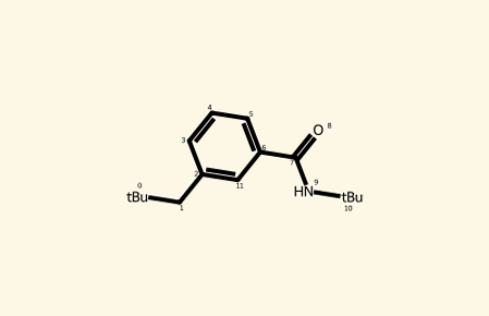 CC(C)(C)Cc1cccc(C(=O)NC(C)(C)C)c1